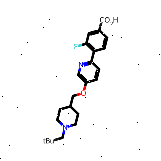 CC(C)(C)CN1CCC(COc2ccc(-c3ccc(C(=O)O)cc3F)nc2)CC1